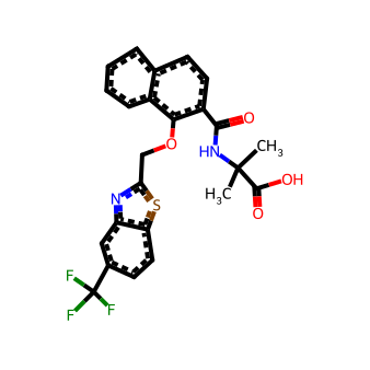 CC(C)(NC(=O)c1ccc2ccccc2c1OCc1nc2cc(C(F)(F)F)ccc2s1)C(=O)O